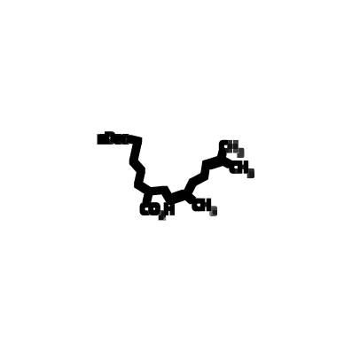 CCCCCCCCCCCCCCC(CC=C(C)CCC=C(C)C)C(=O)O